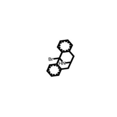 BrC12NC(Cc3ccccc31)Cc1ccccc12